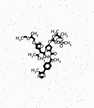 CCOC(C)COc1cc([C@H](C(=O)N2C[C@H](OC(=O)OC(C)C(C)(C)SS(C)(=O)=O)C[C@H]2C(=O)N[C@@H](C)c2ccc(-c3scnc3C)cc2)C(C)C)on1